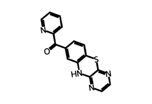 O=C(c1ccc2c(c1)Nc1nccnc1S2)c1ccccn1